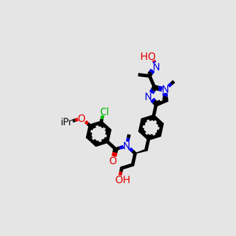 C/C(=N\O)c1nc(-c2ccc(C[C@@H](CCO)N(C)C(=O)c3ccc(OC(C)C)c(Cl)c3)cc2)cn1C